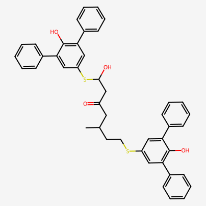 CC(CCSc1cc(-c2ccccc2)c(O)c(-c2ccccc2)c1)CC(=O)CC(O)Sc1cc(-c2ccccc2)c(O)c(-c2ccccc2)c1